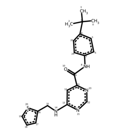 CC(C)(C)c1ccc(NC(=O)c2cc(NCc3cccs3)ncn2)cc1